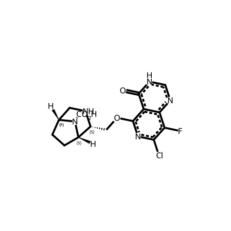 O=C(O)N1[C@@H]2CC[C@H]1[C@@H](COc1nc(Cl)c(F)c3nc[nH]c(=O)c13)NC2